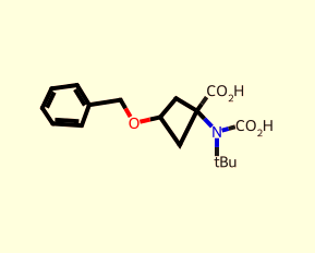 CC(C)(C)N(C(=O)O)C1(C(=O)O)CC(OCc2ccccc2)C1